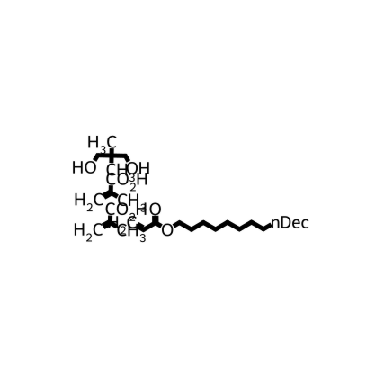 C=C(C)C(=O)O.C=C(C)C(=O)O.C=CC(=O)OCCCCCCCCCCCCCCCCCC.CC(C)(CO)CO